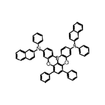 c1ccc(-c2cc(-c3ccccc3)c3c4c2Oc2cc(N(c5ccccc5)c5ccc6ccccc6c5)ccc2B4c2ccc(N(c4ccccc4)c4ccc5ccccc5c4)cc2O3)cc1